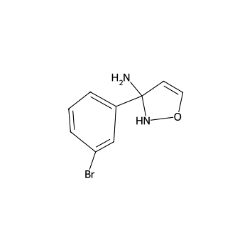 NC1(c2cccc(Br)c2)C=CON1